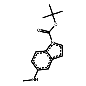 CNc1ccc2c(ccn2C(=O)OC(C)(C)C)c1